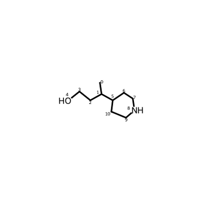 CC(CCO)C1CCNCC1